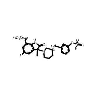 CC1(N2CCC[C@@H](Nc3cccc(OS(=O)(=O)F)c3)C2)C(=O)Nc2c(NC(=O)O)cc(F)cc21